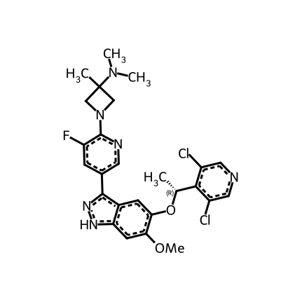 COc1cc2[nH]nc(-c3cnc(N4CC(C)(N(C)C)C4)c(F)c3)c2cc1O[C@H](C)c1c(Cl)cncc1Cl